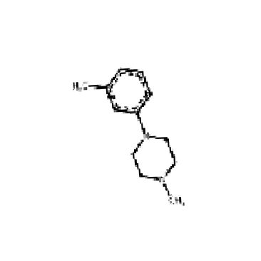 Cc1[c]ccc(N2CCN(C)CC2)c1